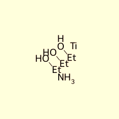 CCO.CCO.CCO.N.[Ti]